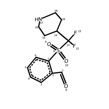 O=Cc1ccccc1S(=O)(=O)C(F)(F)C1CCNCC1